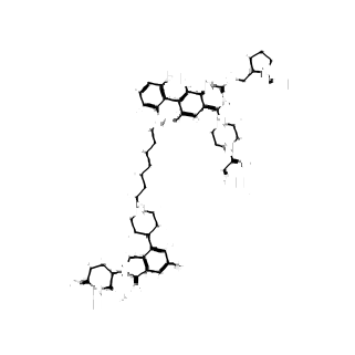 C=CC(=O)N1CCN(c2nc(OCC3CCCN3C)nc3c(F)c(-c4c(F)cccc4OCCCCCCCN4CCC(c5cc(F)cc6c5CN(C5CCC(=O)NC5=O)C6=O)CC4)c(Cl)cc23)CC1